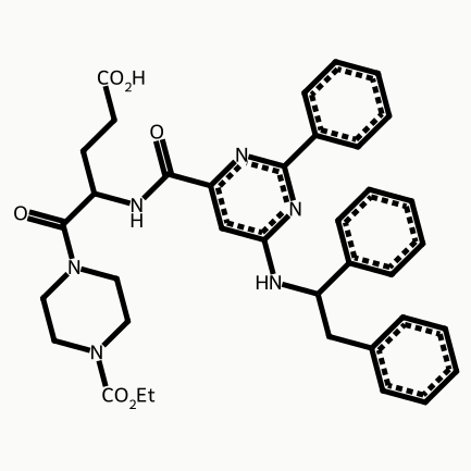 CCOC(=O)N1CCN(C(=O)C(CCC(=O)O)NC(=O)c2cc(NC(Cc3ccccc3)c3ccccc3)nc(-c3ccccc3)n2)CC1